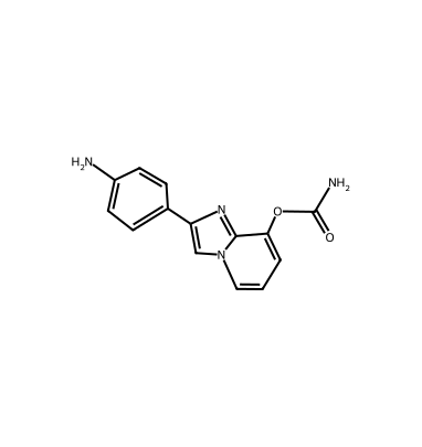 NC(=O)Oc1cccn2cc(-c3ccc(N)cc3)nc12